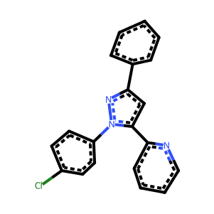 Clc1ccc(-n2nc(-c3ccccc3)cc2-c2ccccn2)cc1